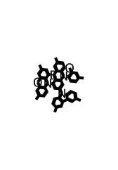 Cc1ccc2c(c1)Oc1cc(C)cc3c1N2c1cc(-n2c4ccc(C)cc4c4cc(C)ccc42)cc2c1B3c1cc(C)cc3c1N2c1ccc(C)cc1O3